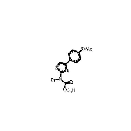 CCN(C(=O)C(=O)O)c1nc(-c2ccc(OC)cc2)cs1